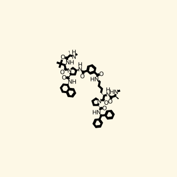 CN[C@@H](C)C(=O)N[C@@H](CCCCNC(=O)c1cccc(C(=O)N[C@H]2C[C@@H](C(=O)N[C@@H]3CCCc4ccccc43)N(C(=O)[C@@H](NC(=O)[C@H](C)NC)C(C)(C)C)C2)c1)C(=O)N1CCC[C@H]1C(=O)NC(c1ccccc1)c1ccccc1